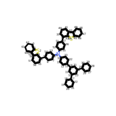 C1=c2sc3c(-c4ccc(N(c5ccc(-c6cc(-c7ccccc7)cc(-c7ccccc7)c6)cc5)c5ccc(-c6cccc7c6sc6ccccc67)cc5)cc4)cccc3c2=CCC1